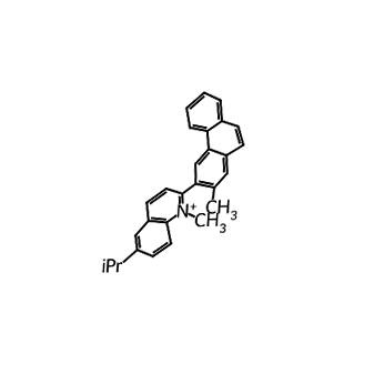 Cc1cc2ccc3ccccc3c2cc1-c1ccc2cc(C(C)C)ccc2[n+]1C